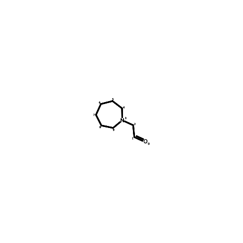 O=CCN1CCCCCC1